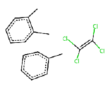 Cc1ccccc1.Cc1ccccc1C.ClC(Cl)=C(Cl)Cl